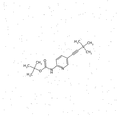 CC(C)(C)OC(=O)Nc1ccc(C#C[Si](C)(C)C)cn1